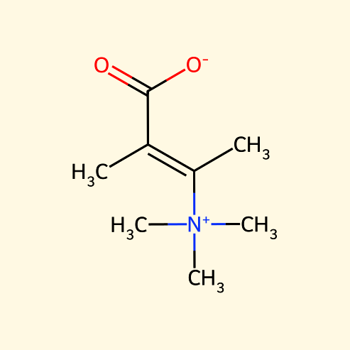 CC(C(=O)[O-])=C(C)[N+](C)(C)C